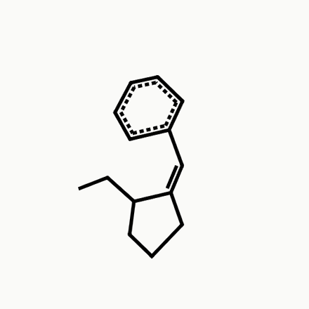 CCC1CCCC1=Cc1ccccc1